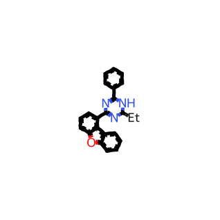 CCC1N=C(c2cccc3oc4ccccc4c23)N=C(c2ccccc2)N1